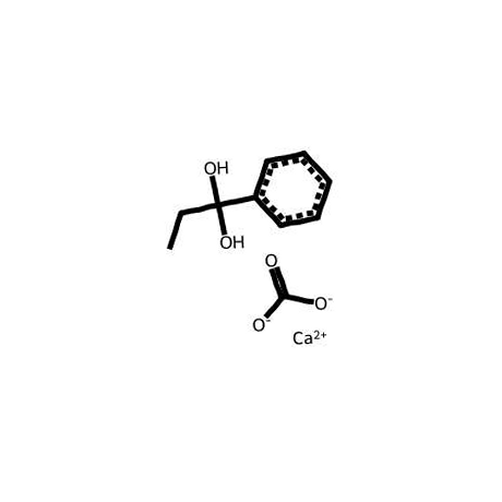 CCC(O)(O)c1ccccc1.O=C([O-])[O-].[Ca+2]